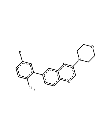 Cc1ccc(F)cc1-c1ccc2ncc(N3CCOCC3)nc2c1